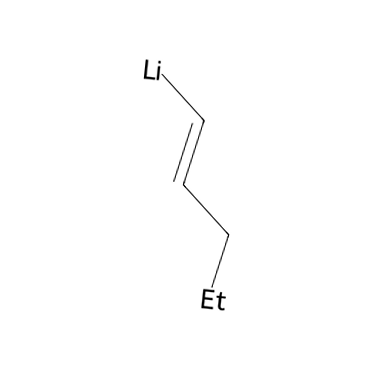 [Li]/[CH]=C/CCC